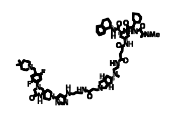 CN[C@@H](C)C(=O)N[C@H](C(=O)N1C[C@@H](NC(=O)CCC(=O)NCCN(C)[C@@H]2C[C@@H]3CN(CCC(=O)NCCCNc4cc(N5CCC6(CC5)CN(c5cc(F)c(CN7CCC(C)(C)CC7)cc5F)CC(=O)N6)ncn4)C[C@@H]3C2)C[C@H]1C(=O)N[C@H]1CCCc2ccccc21)C1CCCCC1